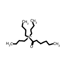 CCCCCC(=O)[N+](CCCC)(CCCC)CCCC